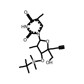 C#CC1(CO)OC(n2cc(C)c(=O)[nH]c2=O)C(C)C1O[Si](C)(C)C(C)(C)C